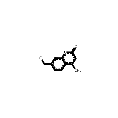 Cc1cc(=O)oc2cc(CO)ccc12